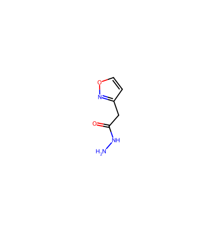 NNC(=O)Cc1ccon1